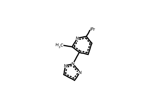 Cc1nc(C(C)C)ccc1-n1nccn1